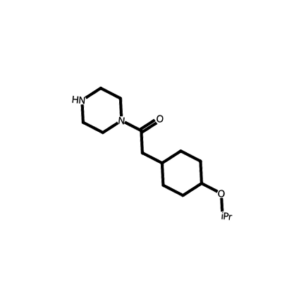 CC(C)OC1CCC(CC(=O)N2CCNCC2)CC1